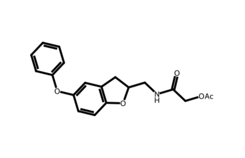 CC(=O)OCC(=O)NCC1Cc2cc(Oc3ccccc3)ccc2O1